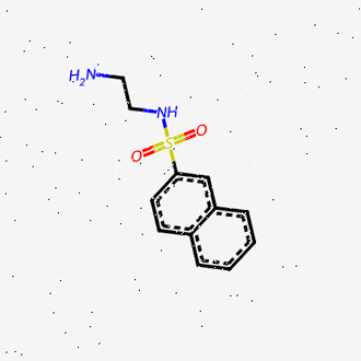 NCCNS(=O)(=O)c1ccc2ccccc2c1